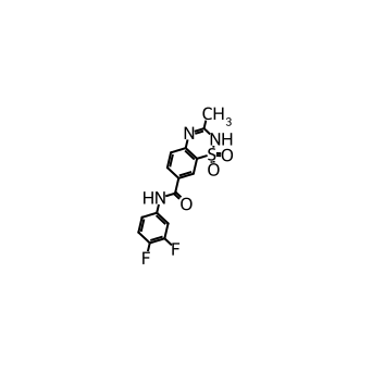 CC1=Nc2ccc(C(=O)Nc3ccc(F)c(F)c3)cc2S(=O)(=O)N1